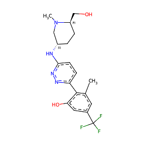 Cc1cc(C(F)(F)F)cc(O)c1-c1ccc(N[C@H]2CC[C@H](CO)N(C)C2)nn1